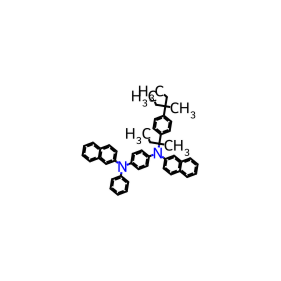 CCC(C)(CC)c1ccc(C(C)(CC)N(c2ccc(N(c3ccccc3)c3ccc4ccccc4c3)cc2)c2ccc3ccccc3c2)cc1